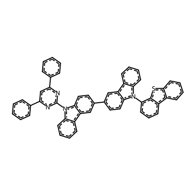 c1ccc(-c2cc(-c3ccccc3)nc(-n3c4ccccc4c4cc(-c5ccc6c(c5)c5ccccc5n6-c5cccc6c5sc5ccccc56)ccc43)n2)cc1